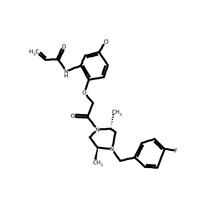 C=CC(=O)Nc1cc(Cl)ccc1OCC(=O)N1C[C@H](C)N(Cc2ccc(F)cc2)C[C@H]1C